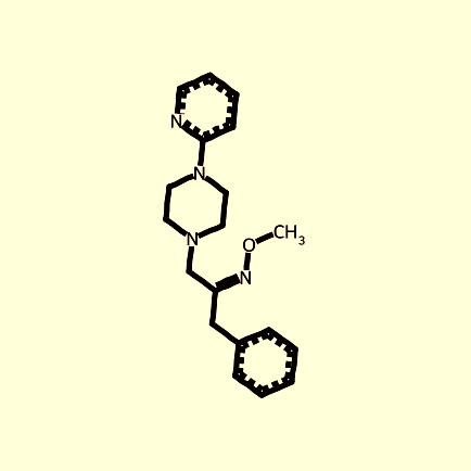 CON=C(Cc1ccccc1)CN1CCN(c2ccccn2)CC1